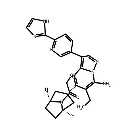 CCc1c([C@@H]2C[C@H]3CC[C@@H](C2)N3C(=O)CO)nc2c(-c3ccc(-c4ncc[nH]4)nc3)cnn2c1N